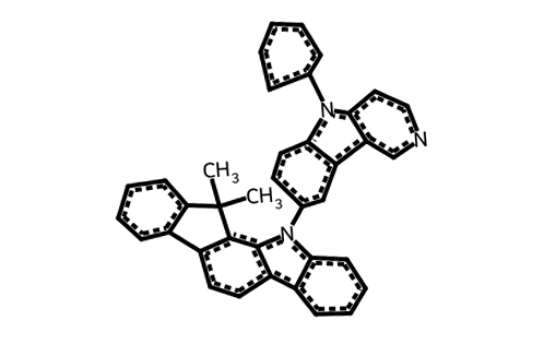 CC1(C)c2ccccc2-c2ccc3c4ccccc4n(-c4ccc5c(c4)c4cnccc4n5-c4ccccc4)c3c21